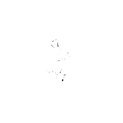 C=C(C#N)C(=O)N1CCOC[C@@H]1COC(=O)N[C@@H](CCc1ccccc1)B(O)O